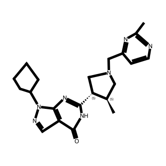 Cc1nccc(CN2C[C@@H](C)[C@H](c3nc4c(cnn4C4CCCC4)c(=O)[nH]3)C2)n1